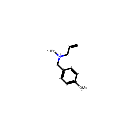 C=CCN(CCCCCC)Cc1ccc(OC)cc1